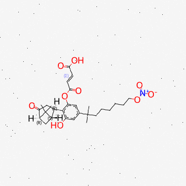 CC(C)(CCCCCCO[N+](=O)[O-])c1cc(O)c([C@@H]2CC(=O)[C@@H]3C[C@@H]2C3(C)C)c(OC(=O)/C=C/C(=O)O)c1